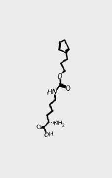 N[C@@H](CCCCNC(=O)OCCCC1=CCC=C1)C(=O)O